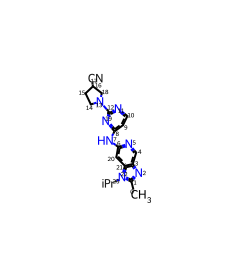 Cc1nc2cnc(Nc3ccnc(N4CCC(C#N)C4)n3)cc2n1C(C)C